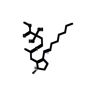 CCCCCC/C=C/C1=C(CC(C)=C=CCC(O)(O)C(=O)OC)[C@@H](C)CC1